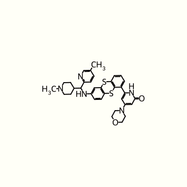 Cc1ccc(C(Nc2ccc3c(c2)Sc2cccc(-c4cc(N5CCOCC5)cc(=O)[nH]4)c2S3)C2CCN(C)CC2)nc1